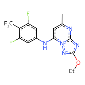 CCOc1nc2nc(C)cc(Nc3cc(F)c(C(F)(F)F)c(F)c3)n2n1